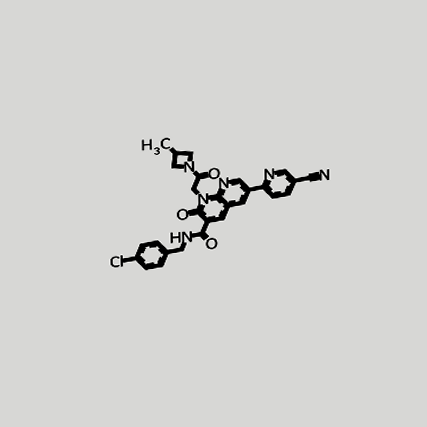 CC1CN(C(=O)Cn2c(=O)c(C(=O)NCc3ccc(Cl)cc3)cc3cc(-c4ccc(C#N)cn4)cnc32)C1